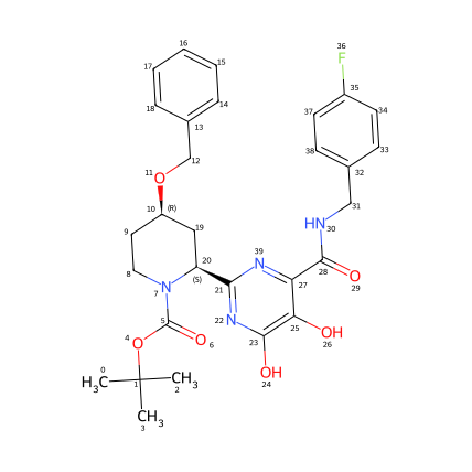 CC(C)(C)OC(=O)N1CC[C@@H](OCc2ccccc2)C[C@H]1c1nc(O)c(O)c(C(=O)NCc2ccc(F)cc2)n1